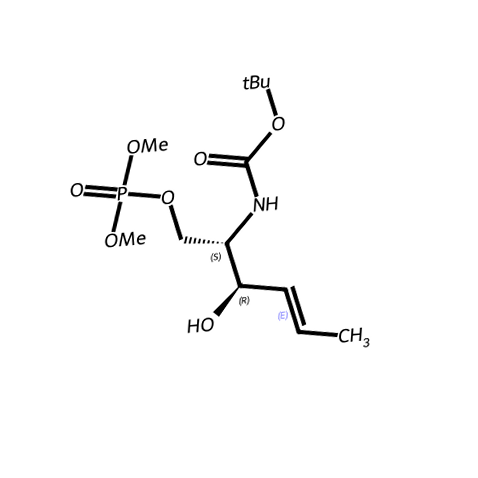 C/C=C/[C@@H](O)[C@H](COP(=O)(OC)OC)NC(=O)OC(C)(C)C